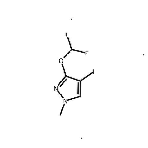 Cn1cc(I)c(OC(F)F)n1